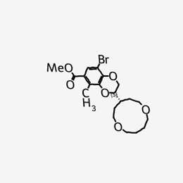 COC(=O)c1cc(Br)c2c(c1C)O[C@@H](C1CCOCCCCOCC1)CO2